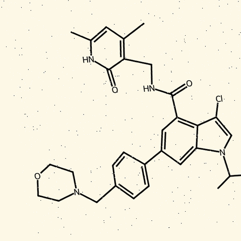 Cc1cc(C)c(CNC(=O)c2cc(-c3ccc(CN4CCOCC4)cc3)cc3c2c(Cl)cn3C(C)C)c(=O)[nH]1